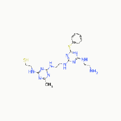 Cc1nc(NCCS)nc(NCCNc2nc(NCCN)nc(Sc3ccccc3)n2)n1